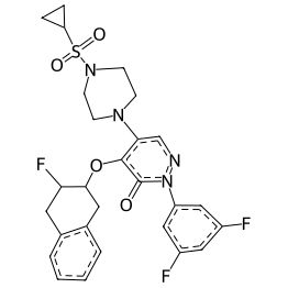 O=c1c(OC2Cc3ccccc3CC2F)c(N2CCN(S(=O)(=O)C3CC3)CC2)cnn1-c1cc(F)cc(F)c1